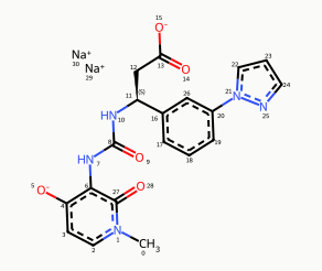 Cn1ccc([O-])c(NC(=O)N[C@@H](CC(=O)[O-])c2cccc(-n3cccn3)c2)c1=O.[Na+].[Na+]